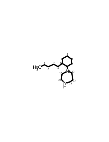 CCCCC[C]1CCCCC1N1CCCNCC1